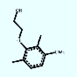 COc1ccc(C)c(OCCO)c1C